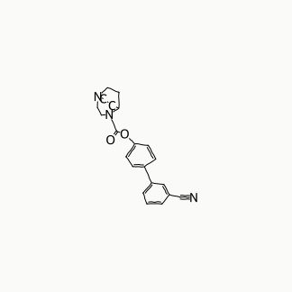 N#Cc1cccc(-c2ccc(OC(=O)N3CCN4CCC3CC4)cc2)c1